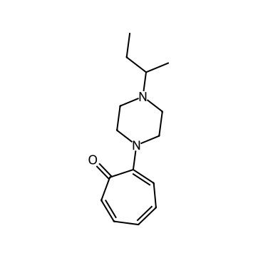 CCC(C)N1CCN(c2cccccc2=O)CC1